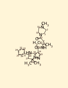 CN1CCN(C(=O)CC(C)(C)NC(=O)c2cnn3c2NC(c2ccccc2)CC3(C)C)CC1